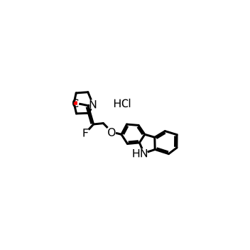 Cl.FC(COc1ccc2c(c1)[nH]c1ccccc12)=C1CC2CCN1CC2